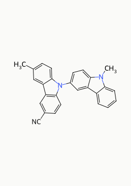 Cc1ccc2c(c1)c1cc(C#N)ccc1n2-c1ccc2c(c1)c1ccccc1n2C